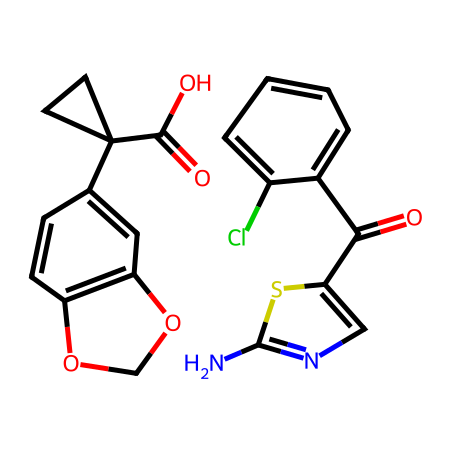 Nc1ncc(C(=O)c2ccccc2Cl)s1.O=C(O)C1(c2ccc3c(c2)OCO3)CC1